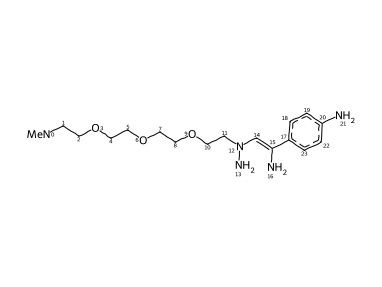 CNCCOCCOCCOCCN(N)/C=C(\N)c1ccc(N)cc1